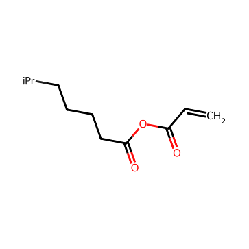 C=CC(=O)OC(=O)CCCCC(C)C